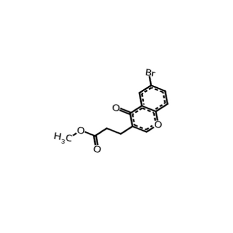 COC(=O)CCc1coc2ccc(Br)cc2c1=O